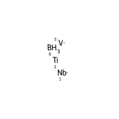 B.[Nb].[Ti].[V]